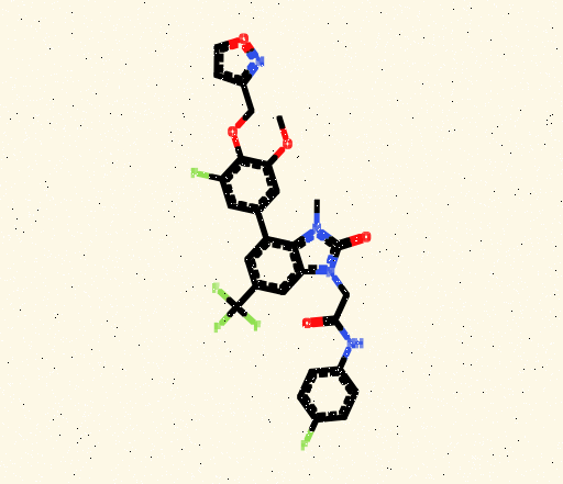 COc1cc(-c2cc(C(F)(F)F)cc3c2n(C)c(=O)n3CC(=O)Nc2ccc(F)cc2)cc(F)c1OCc1ccon1